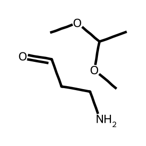 COC(C)OC.NCCC=O